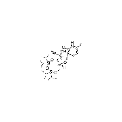 C#C[C@@]1(O)C2O[Si](C(C)C)(C(C)C)O[Si](C(C)C)(C(C)C)OC[C@H]2O[C@H]1n1ccc(=O)[nH]c1=O